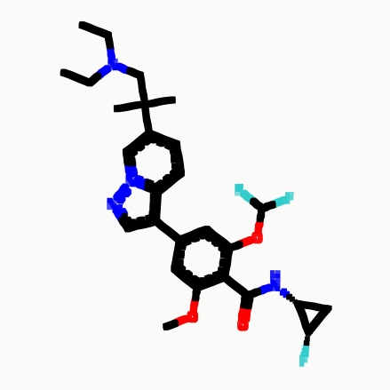 CCN(CC)CC(C)(C)c1ccc2c(-c3cc(OC)c(C(=O)N[C@@H]4C[C@@H]4F)c(OC(F)F)c3)cnn2c1